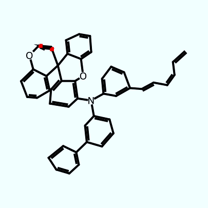 C=C/C=C\C=C\c1cccc(N(c2cccc(-c3ccccc3)c2)c2cccc3c2Oc2ccccc2C32c3ccccc3Oc3ccccc32)c1